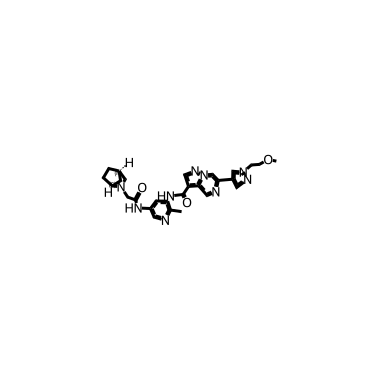 COCCn1cc(-c2cn3ncc(C(=O)Nc4cc(NC(=O)CN5C[C@@H]6CC[C@H]5C6)cnc4C)c3cn2)cn1